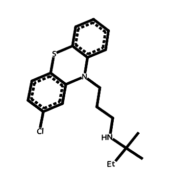 CCC(C)(C)NCCCN1c2ccccc2Sc2ccc(Cl)cc21